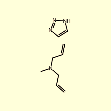 C=CCN(C)CC=C.c1c[nH]nn1